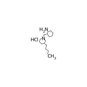 CCCCC[C@H]1CCCN(C[C@@H]2CCCC[C@H]2N)C1.Cl